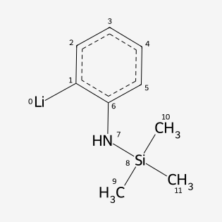 [Li][c]1ccccc1N[Si](C)(C)C